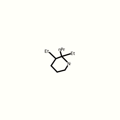 CCCC1(CC)[N]CCCC1CC